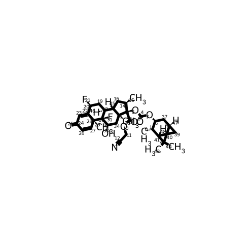 C[C@@H]1[C@@H](OC(=O)O[C@]2(C(=O)OCC#N)[C@H](C)C[C@H]3[C@@H]4C[C@H](F)C5=CC(=O)C=C[C@]5(C)[C@@]4(F)[C@@H](O)C[C@@]32C)C[C@H]2CC23[C@@H]1C3(C)C